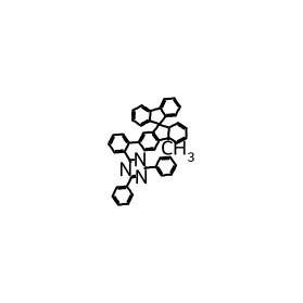 CC12C=CC=CC1C1(c3ccccc3-c3ccccc31)c1cc(-c3ccccc3-c3nc(-c4ccccc4)nc(-c4ccccc4)n3)ccc12